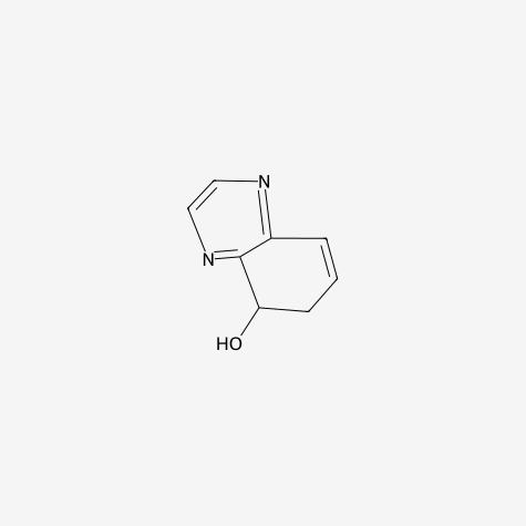 OC1CC=Cc2nccnc21